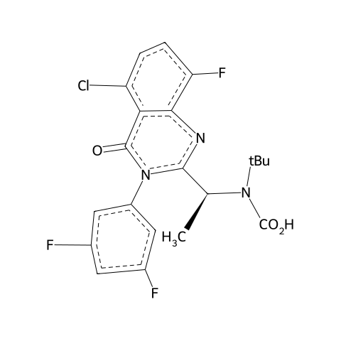 C[C@@H](c1nc2c(F)ccc(Cl)c2c(=O)n1-c1cc(F)cc(F)c1)N(C(=O)O)C(C)(C)C